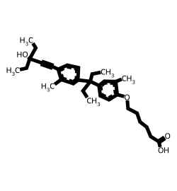 CCC(O)(C#Cc1ccc(C(CC)(CC)c2ccc(OCCCCCC(=O)O)c(C)c2)cc1C)CC